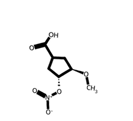 CO[C@@H]1CC(C(=O)O)C[C@H]1O[N+](=O)[O-]